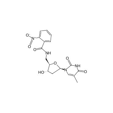 Cc1cn([C@H]2C[C@H](O)[C@@H](CNC(=O)c3ccccc3[N+](=O)[O-])O2)c(=O)[nH]c1=O